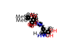 COc1cc([C@@H]2c3cc4c(cc3[C@@H](OC(=O)N3CCN(Cc5ccc(-c6c(-c7cc(C(C)C)c(O)cc7O)n[nH]c6C)cc5)CC3)[C@H]3COC(=O)C23)OCO4)cc(OC)c1OC